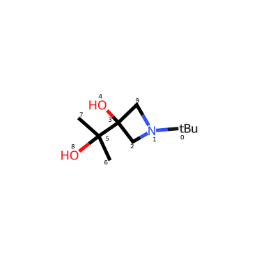 CC(C)(C)N1CC(O)(C(C)(C)O)C1